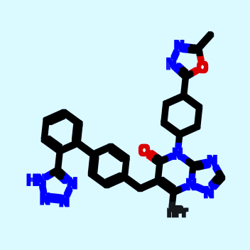 CCCc1c(Cc2ccc(-c3ccccc3-c3nnn[nH]3)cc2)c(=O)n(C2CCC(c3nnc(C)o3)CC2)c2ncnn12